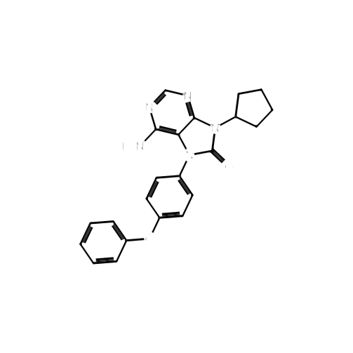 Nc1ncnc2c1n(-c1ccc(Oc3ccccc3)cc1)c(=O)n2C1CCCC1